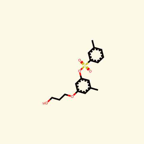 Cc1cc(OCCCO)cc(OS(=O)(=O)c2cccc(C)c2)c1